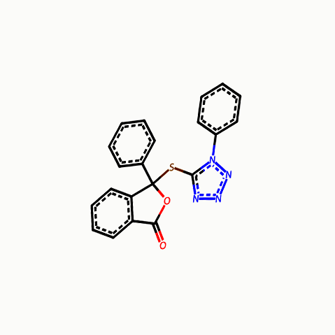 O=C1OC(Sc2nnnn2-c2ccccc2)(c2ccccc2)c2ccccc21